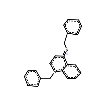 c1ccc(C/N=c2\ccn(Cc3ccccc3)c3ccccc23)cc1